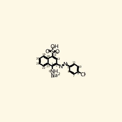 Nc1c(N=Nc2ccc(Cl)cc2)cc(S(=O)(=O)O)c2ccccc12.[Na]